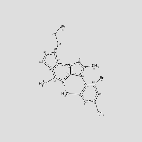 Cc1cc(C)c(-c2c(C)nn3c2nc(C)c2ccn(CCC(C)C)c23)c(Br)c1